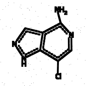 Nc1ncc(Cl)c2[nH]ncc12